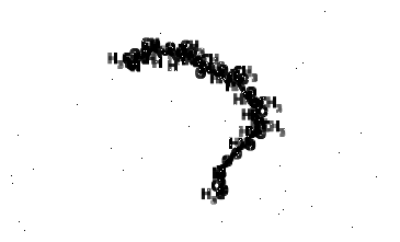 COC(=O)Cc1cn(CCOCCOCCNC(=O)CCNC(=O)c2nc(NC(=O)c3cc(NC(=O)CCNC(=O)c4nc(NC(=O)CCCNC(=O)c5cc(NC(=O)c6nc(NC(=O)CCNC(=O)c7cc(NC(=O)c8nccn8C)cn7C)cn6C)cn5C)cn4C)cn3C)cn2C)nn1